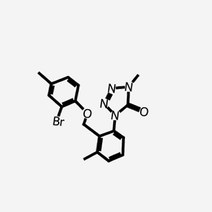 Cc1ccc(OCc2c(C)cccc2-n2nnn(C)c2=O)c(Br)c1